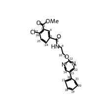 COC(=O)c1cc(C(=O)NCCOc2ncc(-c3ccccc3)cn2)ccc1Cl